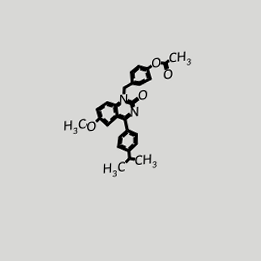 COc1ccc2c(c1)c(-c1ccc(C(C)C)cc1)nc(=O)n2Cc1ccc(OC(C)=O)cc1